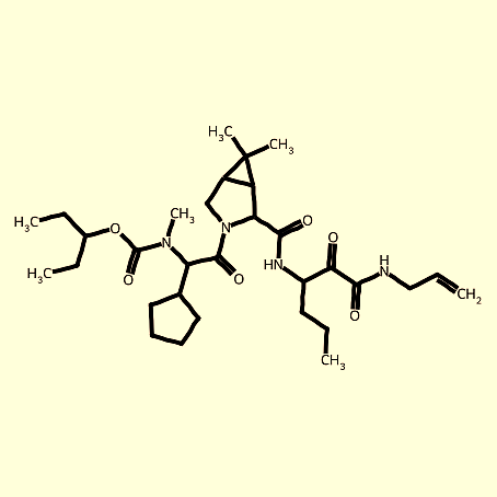 C=CCNC(=O)C(=O)C(CCC)NC(=O)C1C2C(CN1C(=O)C(C1CCCC1)N(C)C(=O)OC(CC)CC)C2(C)C